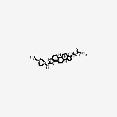 CCN1CCN(Nc2nc3c(s2)C2=CC[C@@H]4[C@H](CC[C@]5(C)/C(=N/NC(N)=S)CC[C@@H]45)[C@@]2(C)CC3)CC1